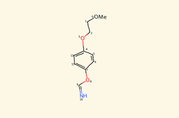 COCCOc1ccc(OC=N)cc1